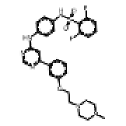 CN1CCN(CCOc2cccc(-c3cc(Nc4ccc(NS(=O)(=O)c5c(F)cccc5F)cc4)ncn3)c2)CC1